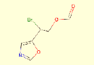 O=COCC(Br)c1cnco1